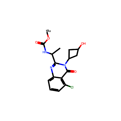 CC(NC(=O)OC(C)(C)C)c1nc2cccc(Cl)c2c(=O)n1C1CC(O)C1